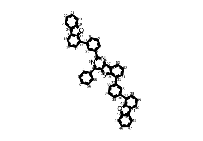 c1ccc(-c2nc(-c3cccc(-c4cccc5c4oc4ccccc45)c3)nc3c2sc2c(-c4cccc(-c5cccc6c5oc5ccccc56)c4)cccc23)cc1